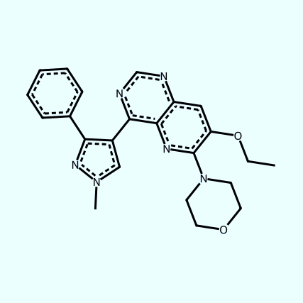 CCOc1cc2ncnc(-c3cn(C)nc3-c3ccccc3)c2nc1N1CCOCC1